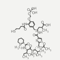 CC[C@H](C)[C@H](NC(=O)[C@H]1CCCCN1C)C(=O)N(C)[C@H](C[C@@H](OC(C)=O)c1nc(C(=O)N[C@@H](Cc2ccc(OCOP(=O)(O)O)c(NC(=O)CCCS)c2)CC(C)C(=O)O)cs1)C(C)C